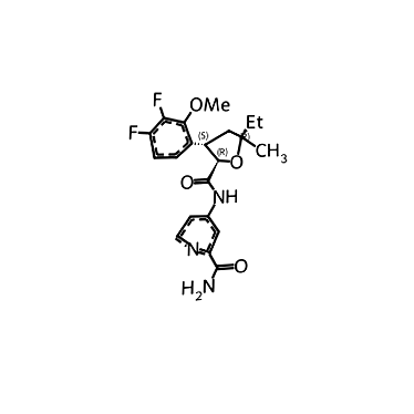 CC[C@]1(C)C[C@@H](c2ccc(F)c(F)c2OC)[C@H](C(=O)Nc2ccnc(C(N)=O)c2)O1